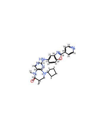 CC1CN(C2CCCC2)c2nc(Nc3ccc4oc(-c5ccncc5)nc4c3)ncc2N(C)C1=O